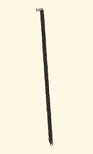 O=COOOOOOOOOOOOOOOOOOOOOOOOOOOOOOOOOOOOOOOOOOOOOOOOOOOOOOOOOOOOOOOOOOOOOOOOOOOOOOOOOOOOOOOOOOOOOOOOOOOOOOOOOOOOOOOOOOOOOOOOOOOOOOOOOOOO